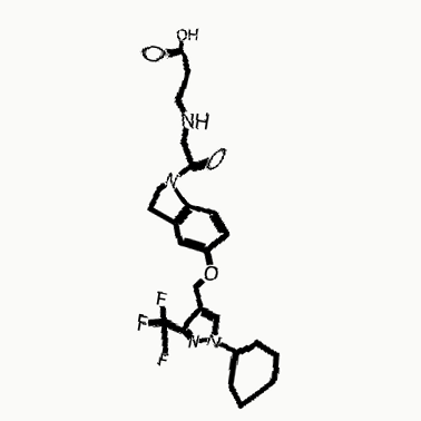 O=C(O)CCNCC(=O)N1CCc2cc(OCc3cn(C4CCCCC4)nc3C(F)(F)F)ccc21